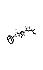 C=C/C(C)=C\C=C(/N)n1cc(C(=O)NCC23CC4CC(CC(C4)C2)C3)c(C)n1